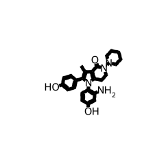 Cc1c2c(n(-c3ccc(O)cc3N)c1-c1ccc(O)cc1)CCN(N1CCCCC1)C2=O